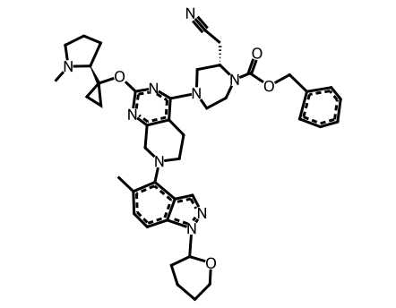 Cc1ccc2c(cnn2C2CCCCO2)c1N1CCc2c(nc(OC3([C@@H]4CCCN4C)CC3)nc2N2CCN(C(=O)OCc3ccccc3)[C@@H](CC#N)C2)C1